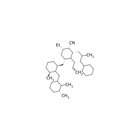 C=CCC1[C@H](C[C@@H]2CCC[C@H](C)C2CC2CCC[C@@H](C)C2C)C[C@H](CC)[C@H](C#N)[C@@H]1CC(C)CC1CCCCC1